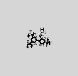 CCc1cc(C(F)(F)F)ccc1-c1cc(C(F)(F)F)cc(C(F)(F)F)c1